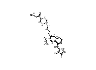 Cc1n[nH]c(Nc2ncnc3cc(OCCCN4CCN(C(=O)OC(C)(C)C)CC4)c([S+]([O-])C(C)(C)C)cc23)c1C